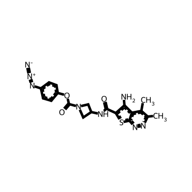 Cc1nnc2sc(C(=O)NC3CN(C(=O)Oc4ccc(N=[N+]=[N-])cc4)C3)c(N)c2c1C